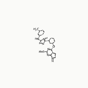 CSc1nc(Oc2cccc(-c3nnc(Nc4cccc(C)c4)[nH]3)c2)c2cc[nH]c2n1